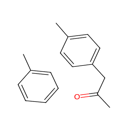 CC(=O)Cc1ccc(C)cc1.Cc1ccccc1